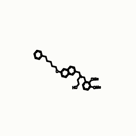 COc1cccc(CN(CCO)Cc2ccc3cc(OCCCCCc4ccccc4)ccc3c2)c1OC